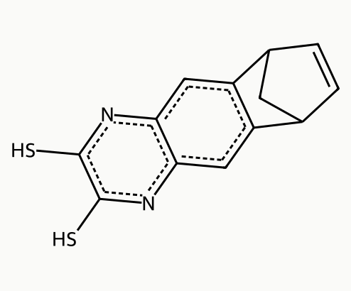 Sc1nc2cc3c(cc2nc1S)C1C=CC3C1